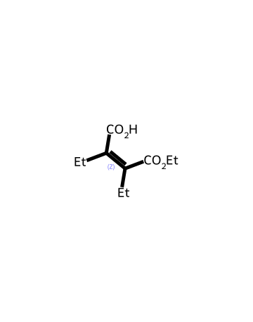 CCOC(=O)/C(CC)=C(/CC)C(=O)O